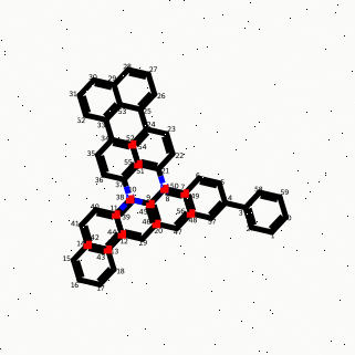 c1ccc(-c2ccc(N(c3ccc(-c4ccccc4)cc3)c3ccc(-c4cccc5cccc(-c6ccc(N(c7ccccc7)c7ccccc7)cc6)c45)cc3)cc2)cc1